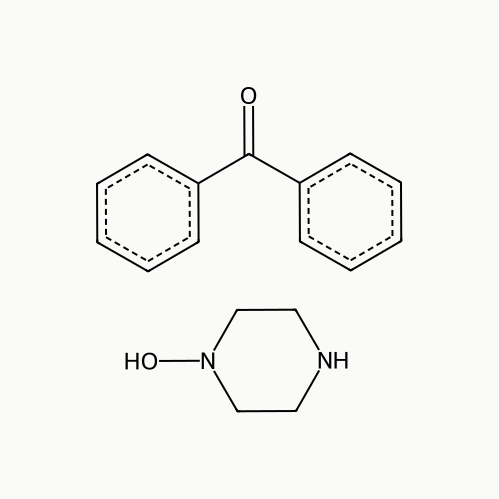 O=C(c1ccccc1)c1ccccc1.ON1CCNCC1